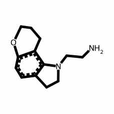 NCCN1CCc2ccc3c(c21)CCCO3